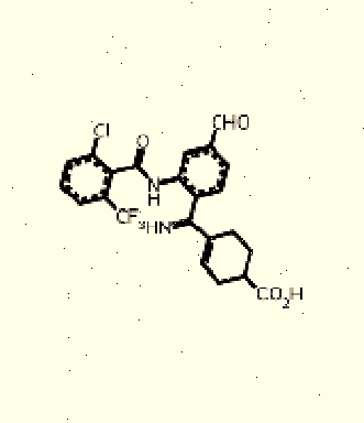 N=C(C1=CCC(C(=O)O)CC1)c1ccc(C=O)cc1NC(=O)c1c(Cl)cccc1C(F)(F)F